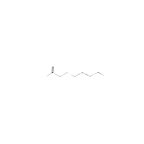 CCCCCC(=O)CCCCCCC(C)C